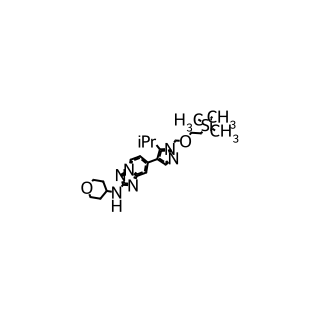 CC(C)c1c(-c2ccn3nc(NC4CCOCC4)nc3c2)cnn1COCC[Si](C)(C)C